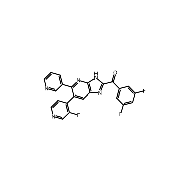 O=C(c1cc(F)cc(F)c1)c1nc2cc(-c3ccncc3F)c(-c3cccnc3)nc2[nH]1